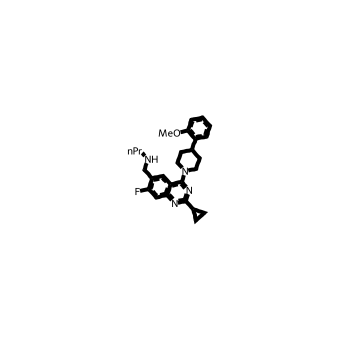 CCCNCc1cc2c(N3CCC(c4ccccc4OC)CC3)nc(C3CC3)nc2cc1F